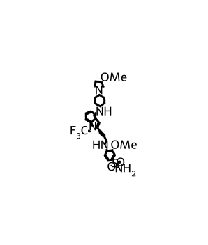 COc1cc(S(N)(=O)=O)ccc1NCC#Cc1cc2c(N[C@H]3CC[C@@H](N4CCC(OC)C4)CC3)cccc2n1CC(F)(F)F